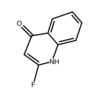 O=c1cc(F)[nH]c2ccccc12